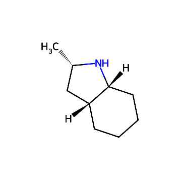 C[C@H]1C[C@H]2CCCC[C@H]2N1